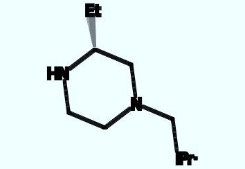 CC[C@@H]1CN(C[C](C)C)CCN1